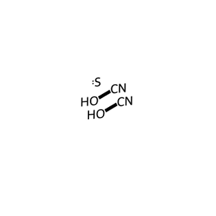 N#CO.N#CO.[S]